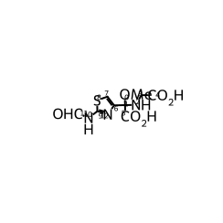 COC(NCC(=O)O)(C(=O)O)c1csc(NC=O)n1